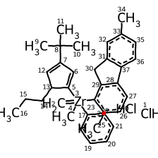 Cl.Cl.[CH2]=[Zr]([CH3])([C]1=CC(C(C)(C)C)=CC1CCC)([c]1ccccc1)[c]1c(C)ccc2c1Cc1cc(C)ccc1-2